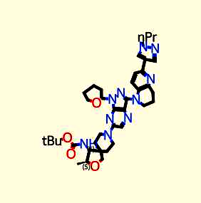 CCCn1cc(-c2ccc3c(n2)CCCN3c2nn(C3CCCCO3)c3nc(N4CCC5(CC4)CO[C@@H](C)[C@H]5NC(=O)OC(C)(C)C)cnc23)cn1